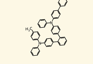 Cc1ccc(N(c2ccccc2)c2ccc(-c3ccccc3-c3ccc(N(c4ccccc4)c4ccc(-c5ccccc5)cc4)cc3)cc2)cc1